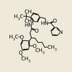 CCCCCC(CC(=O)Nc1cc(CNC(=O)c2cccnc2)ccc1C(C)(C)C)c1c(OC)cc(OC)cc1OC